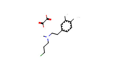 COc1ccc(CCN(C)CCCCl)cc1OC.O=C(O)C(=O)O